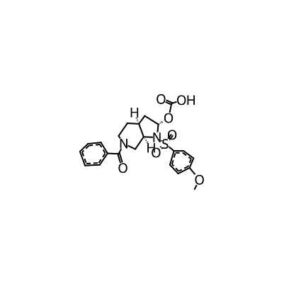 COc1ccc(S(=O)(=O)N2[C@@H](OC(=O)O)C[C@@H]3CCN(C(=O)c4ccccc4)C[C@@H]32)cc1